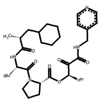 CCC[C@@H](OC(=O)[C@@H]1CCCN1C(=O)[C@@H](NC(=O)[C@H](C)CC1CCCCC1)C(C)(C)C)C(=O)C(=O)NCc1ccncc1